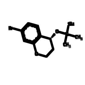 CC(C)(C)[Si](C)(C)O[C@@H]1CCOc2cc(Br)ccc21